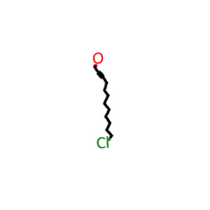 O=CC#CCCCCCCCCCCl